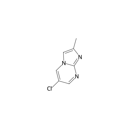 Cc1cn2cc(Cl)cnc2n1